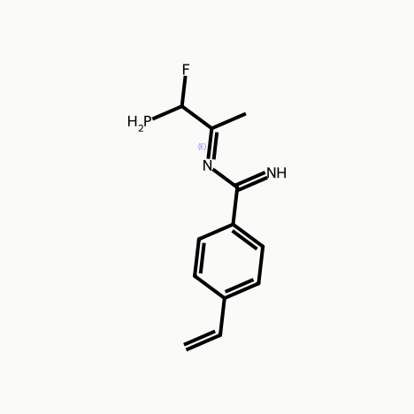 C=Cc1ccc(C(=N)/N=C(\C)C(F)P)cc1